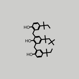 CCC(C)(C)c1ccc(O)c(Cc2cc(C(C)(C)CC(C)(C)C)cc(Cc3cc(C(C)(C)CC)ccc3O)c2O)c1